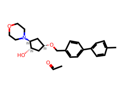 CC=O.Cc1ccc(-c2ccc(CO[C@@H]3C[C@H](O)[C@@H](N4CCOCC4)C3)cc2)cc1